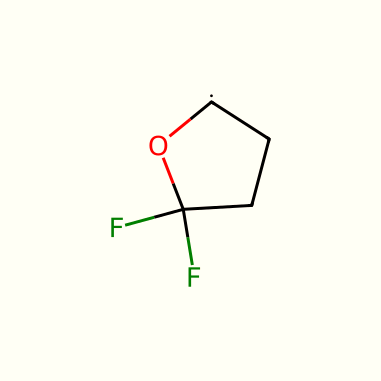 FC1(F)CC[CH]O1